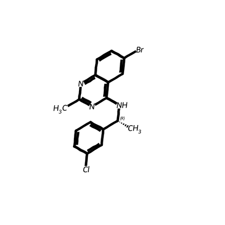 Cc1nc(N[C@H](C)c2cccc(Cl)c2)c2cc(Br)ccc2n1